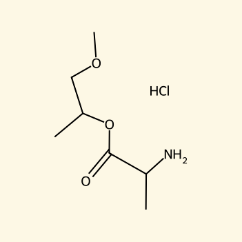 COCC(C)OC(=O)C(C)N.Cl